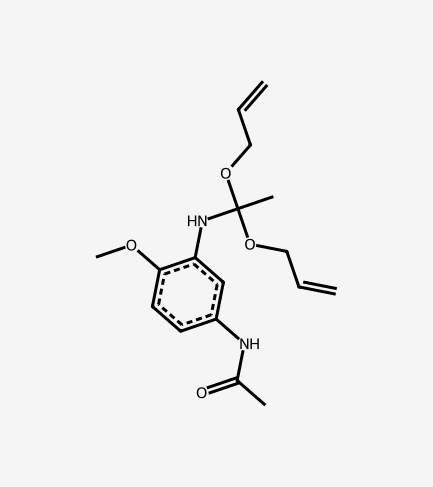 C=CCOC(C)(Nc1cc(NC(C)=O)ccc1OC)OCC=C